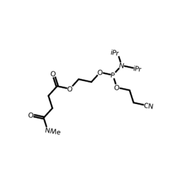 CNC(=O)CCC(=O)OCCOP(OCCC#N)N(C(C)C)C(C)C